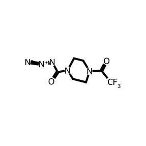 [N-]=[N+]=NC(=O)N1CCN(C(=O)C(F)(F)F)CC1